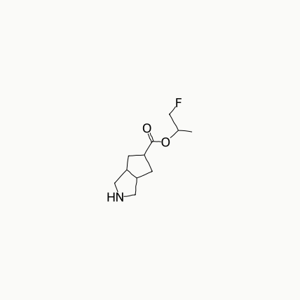 CC(CF)OC(=O)C1CC2CNCC2C1